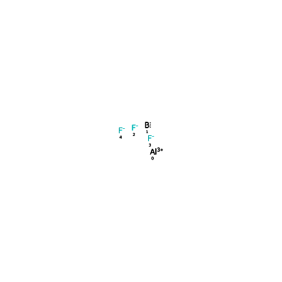 [Al+3].[B].[F-].[F-].[F-]